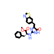 COC(=O)[C@@H](Cc1ccccc1)NC1=N/C(=C\c2ccc3ncsc3c2)C(=O)N1